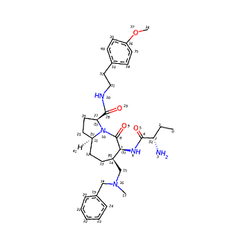 CC[C@H](N)C(=O)N[C@@H]1C(=O)N2[C@@H](CC[C@@H]1CN(C)Cc1ccccc1)CC[C@H]2C(=O)NCCc1ccc(OC)cc1